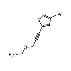 CC(C)c1csc(C#CCOCC(F)(F)F)c1